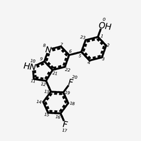 Oc1cccc(-c2cnc3[nH]cc(-c4ccc(F)cc4F)c3c2)c1